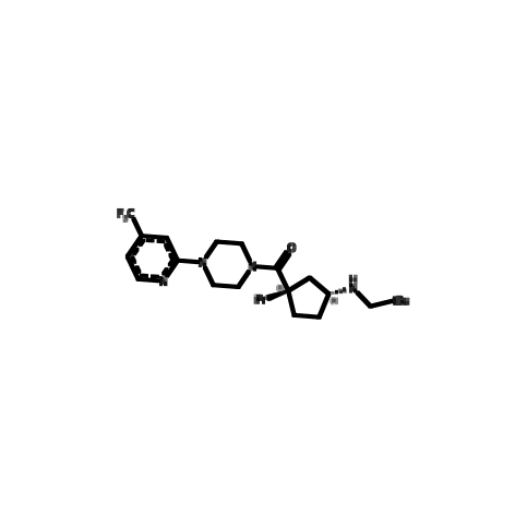 CC(C)[C@]1(C(=O)N2CCN(c3cc(C(F)(F)F)ccn3)CC2)CC[C@@H](NCC(C)(C)C)C1